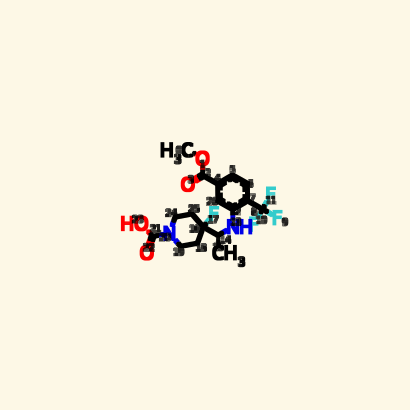 COC(=O)c1ccc(C(F)(F)F)c(N[C@@H](C)C2(F)CCN(C(=O)O)CC2)c1